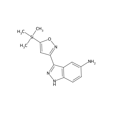 C[Si](C)(C)c1cc(-c2n[nH]c3ccc(N)cc23)no1